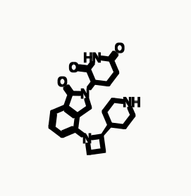 O=C1CCC(N2Cc3c(cccc3N3CC[C@@H]3C3CCNCC3)C2=O)C(=O)N1